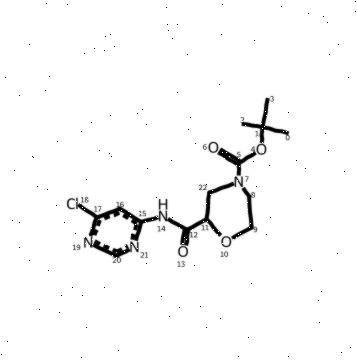 CC(C)(C)OC(=O)N1CCOC(C(=O)Nc2cc(Cl)ncn2)C1